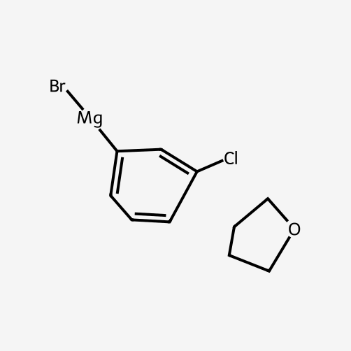 C1CCOC1.Clc1ccc[c]([Mg][Br])c1